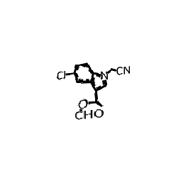 CC(OC=O)c1cn(CC#N)c2ccc(Cl)cc12